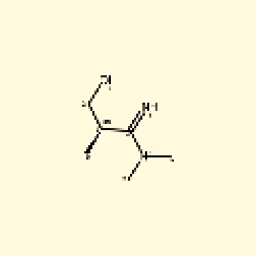 C[C@@H](CO)C(=N)N(C)C